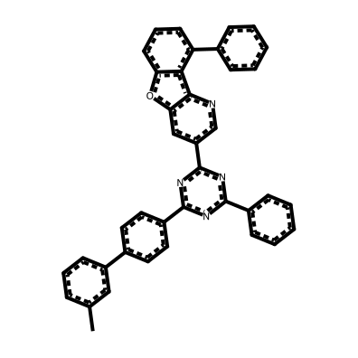 Cc1cccc(-c2ccc(-c3nc(-c4ccccc4)nc(-c4cnc5c(c4)oc4cccc(-c6ccccc6)c45)n3)cc2)c1